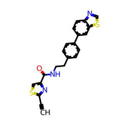 C#Cc1nc(C(=O)NCCc2ccc(-c3ccc4ncsc4c3)cc2)cs1